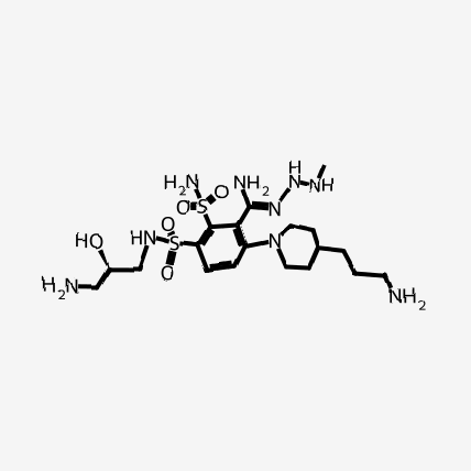 CNN/N=C(\N)c1c(N2CCC(CCCN)CC2)ccc(S(=O)(=O)NC[C@H](O)CN)c1S(N)(=O)=O